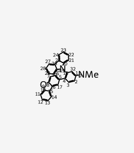 CNc1ccc(-c2ccc3oc4ccccc4c3c2)c(-n2c3ccccc3c3ccccc32)c1